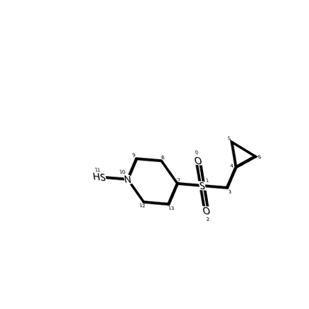 O=S(=O)(CC1CC1)C1CCN(S)CC1